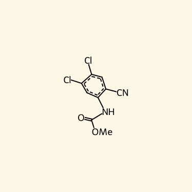 COC(=O)Nc1cc(Cl)c(Cl)cc1C#N